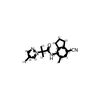 Cc1cc(C#N)c2c(c1NC(=O)C(C)(C)n1cc(I)cn1)CCC2